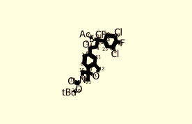 CC(=O)SC(CC(=O)c1ccc2c(c1)COC21CN(C(=O)OC(C)(C)C)C1)(c1cc(Cl)c(F)c(Cl)c1)C(F)(F)F